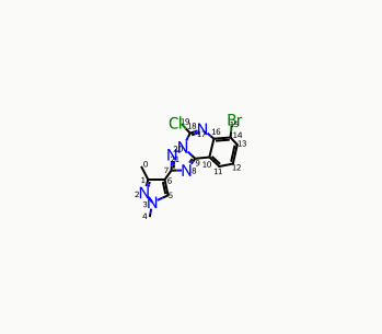 Cc1nn(C)cc1-c1nc2c3cccc(Br)c3nc(Cl)n2n1